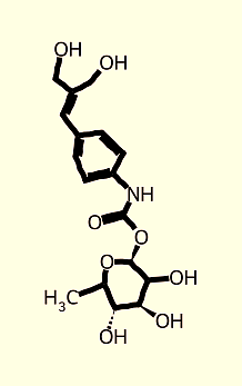 CC1O[C@@H](OC(=O)Nc2ccc(C=C(CO)CO)cc2)C(O)[C@@H](O)[C@@H]1O